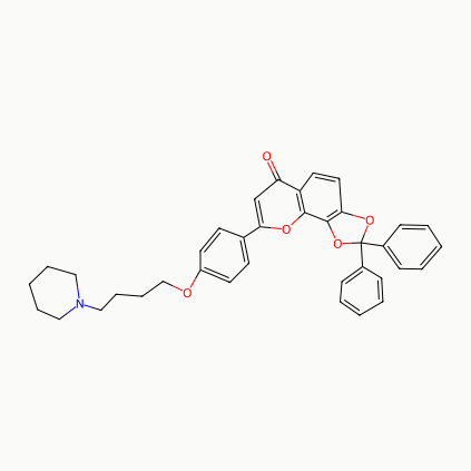 O=c1cc(-c2ccc(OCCCCN3CCCCC3)cc2)oc2c3c(ccc12)OC(c1ccccc1)(c1ccccc1)O3